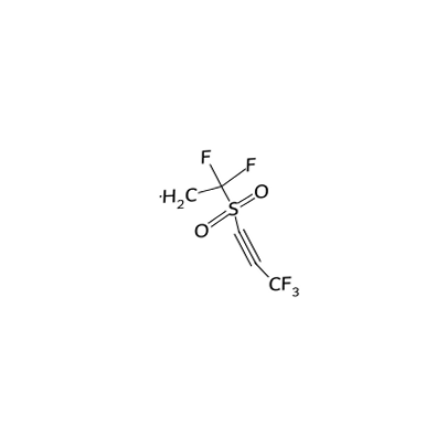 [CH2]C(F)(F)S(=O)(=O)C#CC(F)(F)F